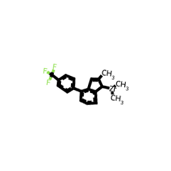 CC1=Cc2c(-c3ccc(C(F)(F)F)cc3)cccc2[CH]1[Zr]([CH3])[CH3]